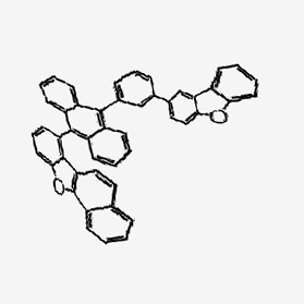 c1cc(-c2ccc3oc4ccccc4c3c2)cc(-c2c3ccccc3c(-c3cccc4oc5c6ccccc6ccc5c34)c3ccccc23)c1